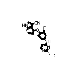 N#Cc1c[nH]c2nccc(Oc3ccc(Nc4ccnc(N)n4)cc3F)c12